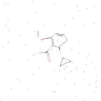 COc1cccc([C@H]2C[C@@H]2F)c1C(N)=O